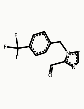 O=Cc1nc[c]n1Cc1ccc(C(F)(F)F)cc1